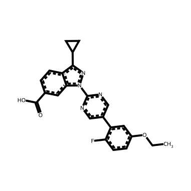 CCOc1ccc(F)c(-c2cnc(-n3nc(C4CC4)c4ccc(C(=O)O)cc43)nc2)c1